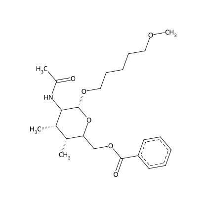 COCCCCCO[C@@H]1OC(COC(=O)c2ccccc2)[C@H](C)[C@H](C)C1NC(C)=O